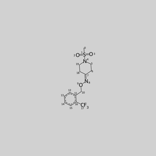 CS(=O)(=O)N1CCC(=NOCc2ccccc2C(F)(F)F)CC1